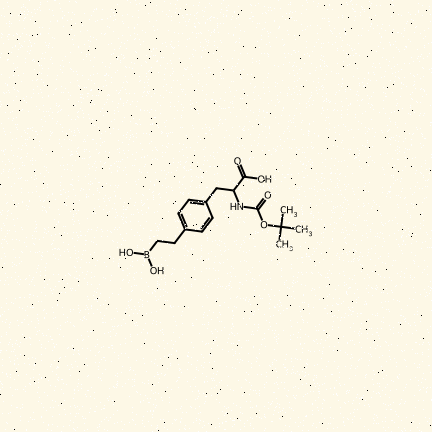 CC(C)(C)OC(=O)NC(Cc1ccc(CCB(O)O)cc1)C(=O)O